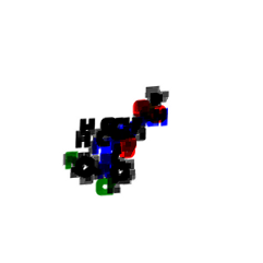 CC(C)(C)[C@H](NC(=O)c1nn(Cc2ccc(F)cc2)c2c(Cl)cccc12)C(=O)NCCNS(=O)(=O)C1CC1